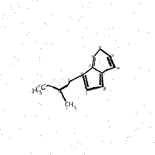 CC(C)CC1=CC=C2C=CCC=C21